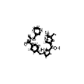 Cc1cc([C@@H](O)[C@H]2CC[C@@H](Cc3ccc(C(=O)N(C)Cc4cnccn4)cc3)N2)cnc1Cl